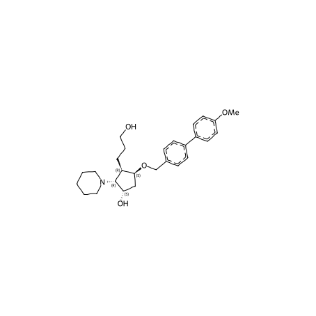 COc1ccc(-c2ccc(CO[C@H]3C[C@H](O)[C@H](N4CCCCC4)[C@H]3CCCO)cc2)cc1